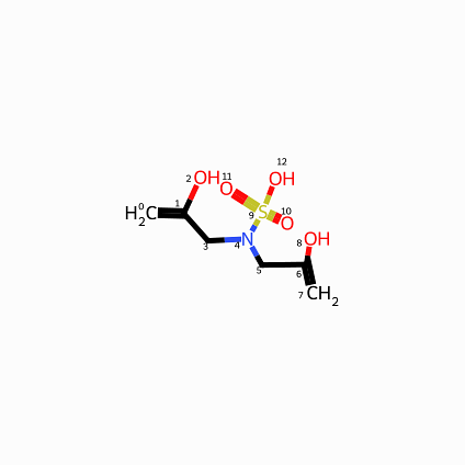 C=C(O)CN(CC(=C)O)S(=O)(=O)O